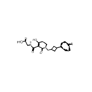 O=C(O)CNC(=O)C1=C(O)CCN(CC2CC(c3ccc(F)cc3)C2)C1=O